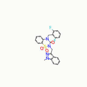 Cn1nc(CN2C(=O)N(Cc3c(F)cccc3F)c3ccccc3S2(=O)=O)c2ccccc21